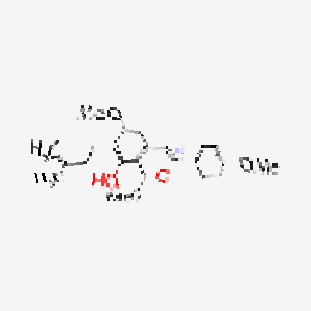 C=C(C)CCc1c(OC)cc(/C=C/c2ccc(OC)cc2)c(C(=O)OC)c1O